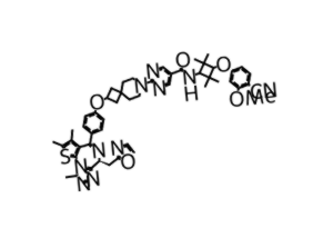 COc1cc(OC2C(C)(C)C(NC(=O)c3cnc(N4CCC5(CC4)CC(Oc4ccc(C6=N[C@@H](Cc7ncco7)c7nnc(C)n7-c7sc(C)c(C)c76)cc4)C5)nc3)C2(C)C)ccc1C#N